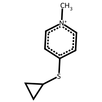 C[n+]1ccc(SC2CC2)cc1